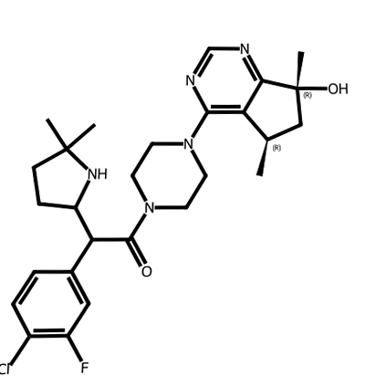 C[C@@H]1C[C@@](C)(O)c2ncnc(N3CCN(C(=O)C(c4ccc(Cl)c(F)c4)C4CCC(C)(C)N4)CC3)c21